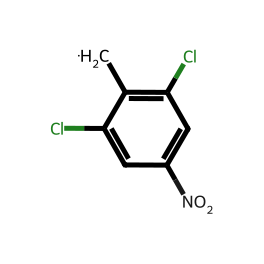 [CH2]c1c(Cl)cc([N+](=O)[O-])cc1Cl